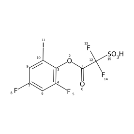 O=C(Oc1c(F)cc(F)cc1I)C(F)(F)S(=O)(=O)O